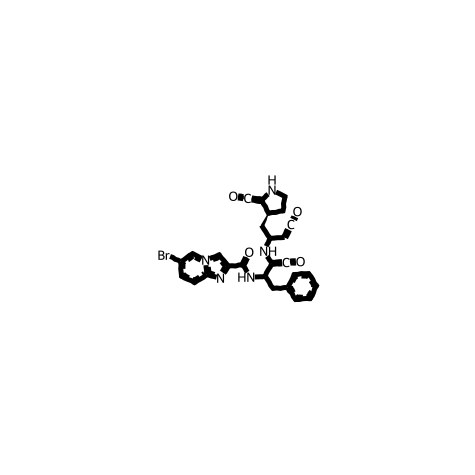 O=C=CC(C[C@@H]1CCNC1=C=O)NC(=C=O)C(Cc1ccccc1)NC(=O)c1cn2cc(Br)ccc2n1